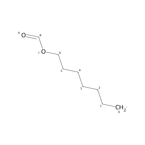 [CH2]CCCCCCOC=O